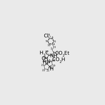 CCOC(=O)[C@H](CCc1ccc(Cl)cc1)N[C@@H](C)C(=O)N1[C@H](C(=O)O)C[C@@H]2CCC[C@@H]21